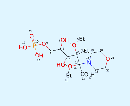 CCOC(CC)(C(O)C(O)COP(=O)(O)O)C(OCC)(C(=O)O)N1CCOCC1